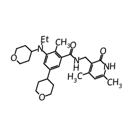 CCN(c1cc(C2CCOCC2)cc(C(=O)NCc2c(C)cc(C)[nH]c2=O)c1C)C1CCOCC1